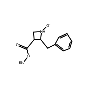 CC(C)(C)OC(=O)C1C[NH+]([O-])C1Cc1ccccc1